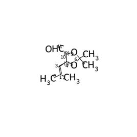 CC(C)=C[C@@H]1OC(C)(C)O[C@H]1C=O